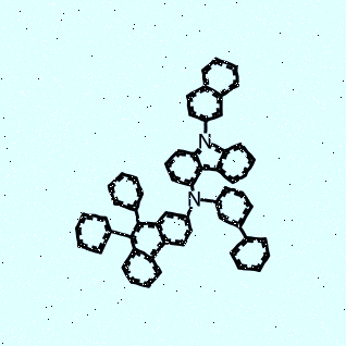 c1ccc(-c2cccc(N(c3ccc4c(c3)c(-c3ccccc3)c(-c3ccccc3)c3ccccc34)c3cccc4c3c3ccccc3n4-c3ccc4ccccc4c3)c2)cc1